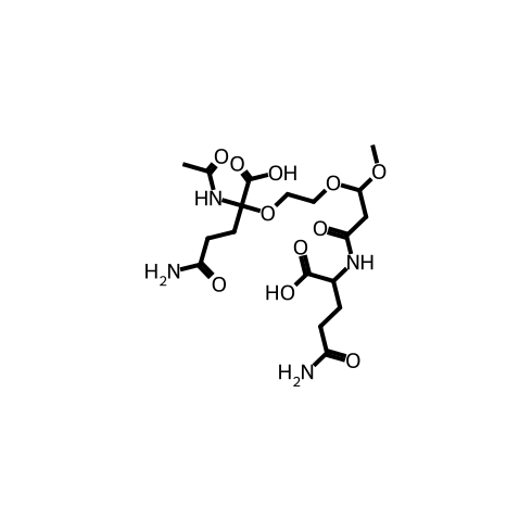 COC(CC(=O)NC(CCC(N)=O)C(=O)O)OCCOC(CCC(N)=O)(NC(C)=O)C(=O)O